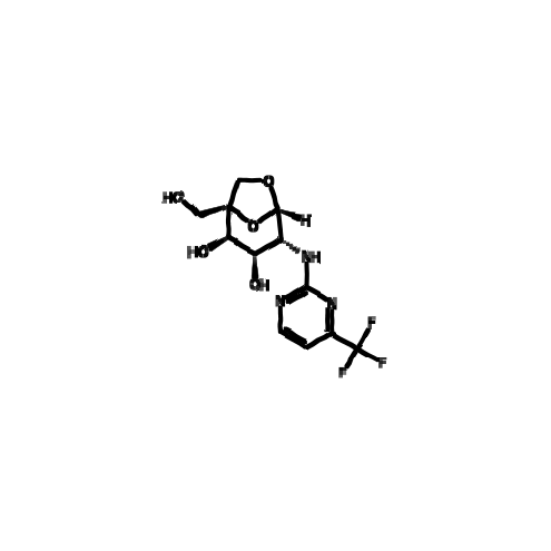 OC[C@@]12CO[C@@H](O1)[C@H](Nc1nccc(C(F)(F)F)n1)[C@@H](O)[C@H]2O